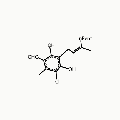 CCCCC/C(C)=C\Cc1c(O)c(Cl)c(C)c(C=O)c1O